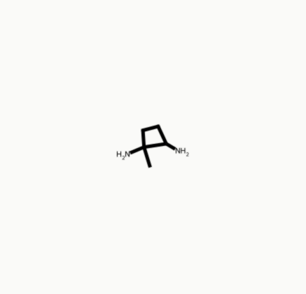 CC1(N)CCC1N